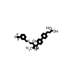 Cc1noc(-c2ccc(-c3ccc(CCC(O)O)cc3)cc2)c1[C@H](O)CSCc1cccc(C(F)(F)F)c1